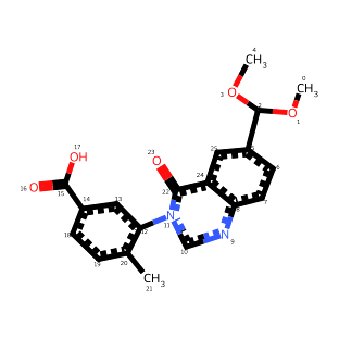 COC(OC)c1ccc2ncn(-c3cc(C(=O)O)ccc3C)c(=O)c2c1